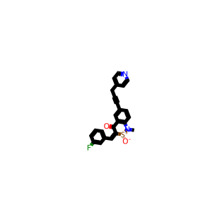 CN1c2ccc(C#CCc3ccncc3)cc2C(=O)/C(=C\c2cccc(F)c2)[S+]1[O-]